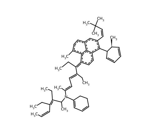 C/C=C\C(CC)=C(\CC)C(C)N(C1=CC=CCC1)/C(C)=C/C=C(CC)/C(CC)=c1\ccc2c(C3C=CC=C[C@@H]3C)c(/C=C\C(C)(C)C)cc3ccc(C)c1c32